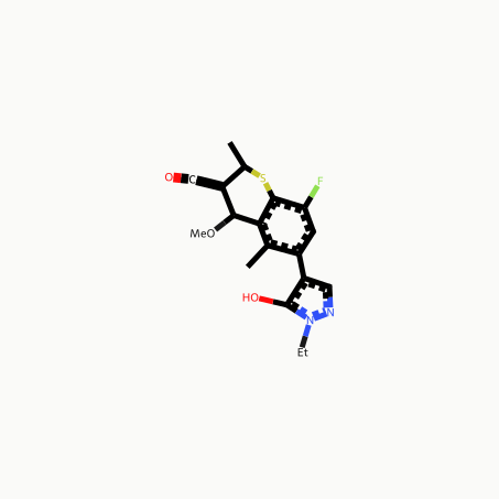 CCn1ncc(-c2cc(F)c3c(c2C)C(OC)C(=C=O)C(C)S3)c1O